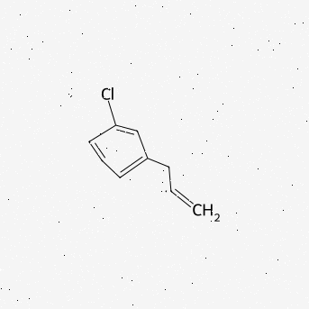 C=[C]Cc1cccc(Cl)c1